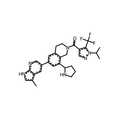 Cc1c[nH]c2ncc(-c3cc4c(c(C5CCCN5)c3)CN(C(=O)c3cnn(C(C)C)c3C(F)(F)F)CC4)cc12